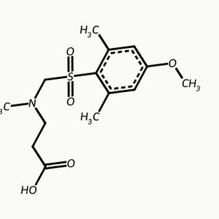 COc1cc(C)c(S(=O)(=O)CN(C)CCC(=O)O)c(C)c1